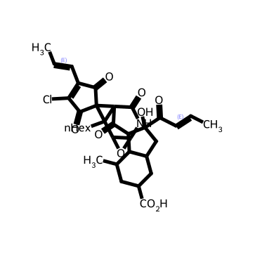 C/C=C/C(=O)C1(O)CC2CC(C(=O)O)CC(C)C2C1C(=O)C12C(=O)NC3OC3C1(CCCCCC)C21C(=O)C(Cl)=C(/C=C/C)C1=O